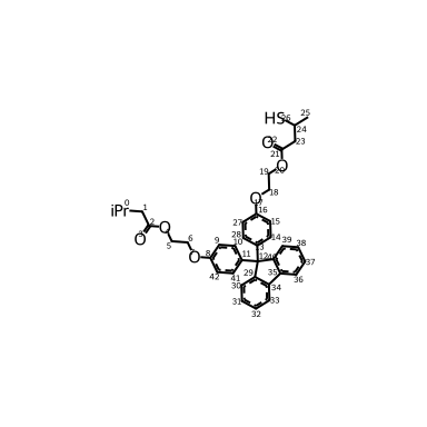 CC(C)CC(=O)OCCOc1ccc(C2(c3ccc(OCCOC(=O)CC(C)S)cc3)c3ccccc3-c3ccccc32)cc1